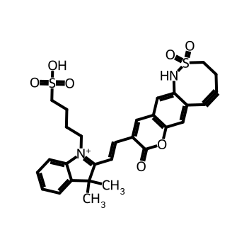 CC1(C)C(/C=C/c2cc3cc4c(cc3oc2=O)C#CCCS(=O)(=O)N4)=[N+](CCCCS(=O)(=O)O)c2ccccc21